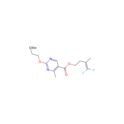 COCCOc1ncc(C(=O)OCCC(C)=C(F)F)c(C)n1